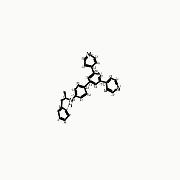 CC(Cc1ccccc1)Nc1ccc(-c2cc(-c3ccncc3)nc(-c3ccncc3)c2)cc1